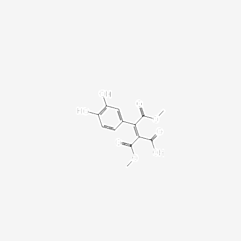 COC(=O)C(C(=O)O)=C(C(=O)OC)c1ccc(O)c(O)c1